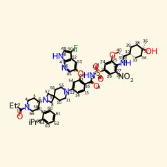 CCC(=O)N1CC[C@H](N2CC3(CCN(c4ccc(C(=O)NS(=O)(=O)c5cc6c(c([N+](=O)[O-])c5)N[C@@H]([C@H]5CC[C@](C)(O)CC5)CO6)c(Oc5cnc6[nH]cc(F)c6c5)c4)CC3)C2)[C@H](c2ccccc2C(C)C)C1